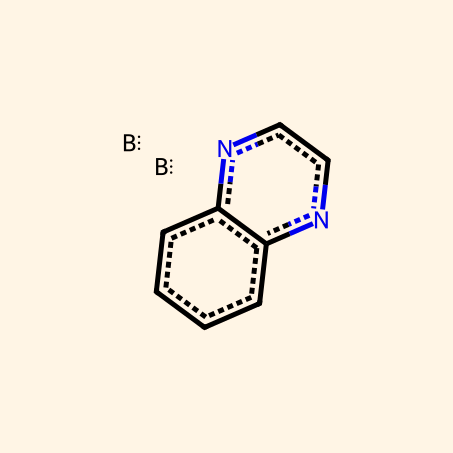 [B].[B].c1ccc2nccnc2c1